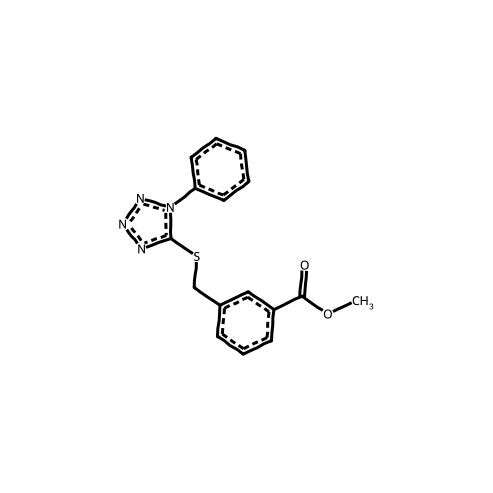 COC(=O)c1cccc(CSc2nnnn2-c2ccccc2)c1